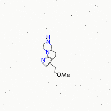 COCCc1ccnc2c1CCC1CNCCN21